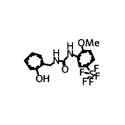 COc1ccc(S(F)(F)(F)(F)F)cc1NC(=O)NCc1ccccc1O